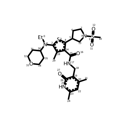 CCN(c1sc(C2CCN(S(C)(=O)=O)C2)c(C(=O)NCc2c(C)cc(C)[nH]c2=O)c1C)C1CCOCC1